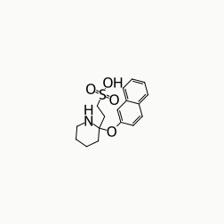 O=S(=O)(O)CCC1(Oc2ccc3ccccc3c2)CCCCN1